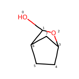 OC1OC2CCC1C2